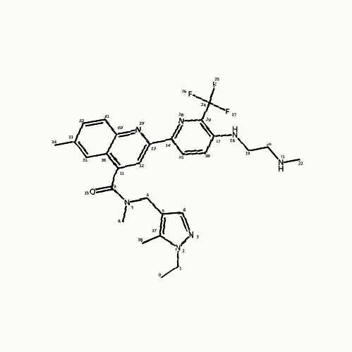 CCn1ncc(CN(C)C(=O)c2cc(-c3ccc(NCCNC)c(C(F)(F)F)n3)nc3ccc(C)cc23)c1C